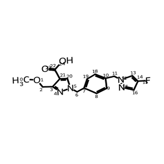 COCc1nn(Cc2ccc(Cn3cc(F)cn3)cc2)cc1C(=O)O